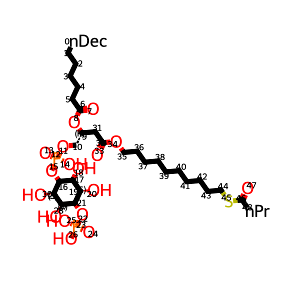 CCCCCCCCCCCCCCCC(=O)O[C@@H](COP(=O)(O)OC1C(O)[C@H](O)C(OP(=O)(O)O)[C@H](O)[C@@H]1O)CC(=O)OCCCCCCCCCCSC(=O)CCC